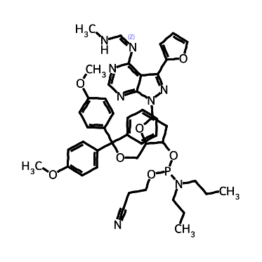 CCCN(CCC)P(OCCC#N)OC1CC(n2nc(-c3ccco3)c3c(/N=C\NC)ncnc32)OC1COC(c1ccccc1)(c1ccc(OC)cc1)c1ccc(OC)cc1